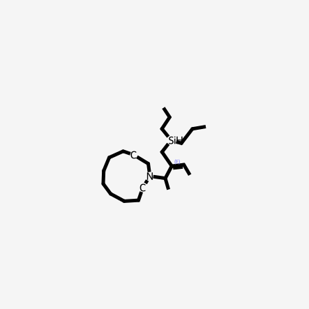 C/C=C(/C[SiH](CCC)CCC)C(C)N1CCCCCCCCCC1